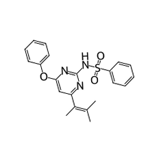 CC(C)=C(C)c1cc(Oc2ccccc2)nc(NS(=O)(=O)c2ccccc2)n1